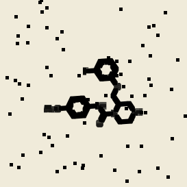 COc1ccc(NC(=O)N2CCNCC2COc2cccc(F)c2)cc1